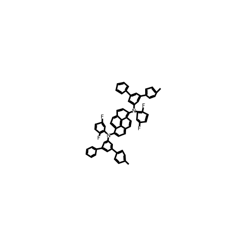 Cc1ccc(-c2cc(-c3ccccc3)cc(N(c3cc(F)ccc3F)c3ccc4ccc5c(N(c6cc(-c7ccccc7)cc(-c7ccc(C)cc7)c6)c6cc(F)ccc6F)ccc6ccc3c4c65)c2)cc1